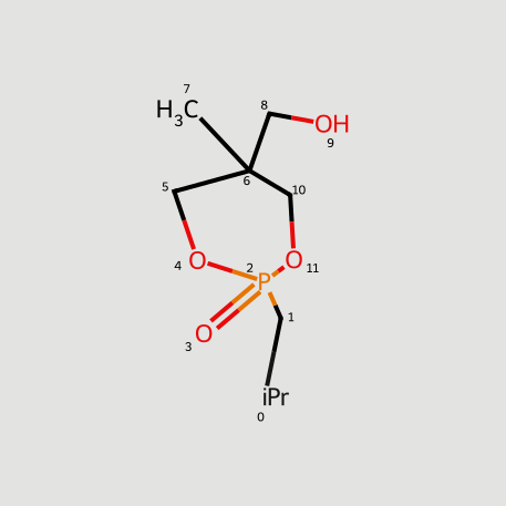 CC(C)CP1(=O)OCC(C)(CO)CO1